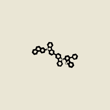 C1=CCC(c2ccc(N3C4C=CC(C5=CC6C7C=CC=CC7N(c7ccc8c(ccc9ccccc98)c7)C6C=C5)=CC4C4C=CCCC43)c3oc4ccccc4c23)C=C1